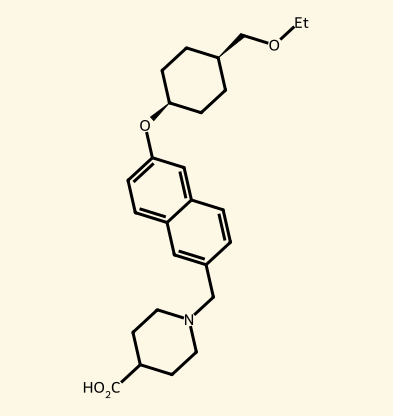 CCOC[C@H]1CC[C@@H](Oc2ccc3cc(CN4CCC(C(=O)O)CC4)ccc3c2)CC1